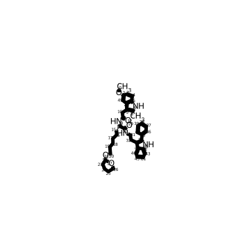 COc1ccc2[nH]c(C)c(CC(=O)N[C@@H](CCCCCCOC3CCCCO3)C(=O)NCCc3c(-c4ccccc4)[nH]c4ccccc34)c2c1